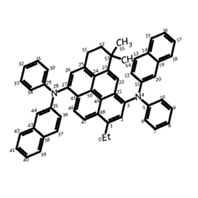 CCc1cc(N(c2ccccc2)c2ccc3ccccc3c2)c2cc3c4c(cc(N(c5ccccc5)c5ccc6ccccc6c5)c5ccc1c2c54)CCC3(C)C